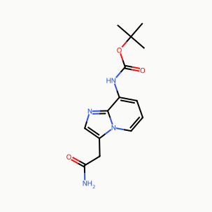 CC(C)(C)OC(=O)Nc1cccn2c(CC(N)=O)cnc12